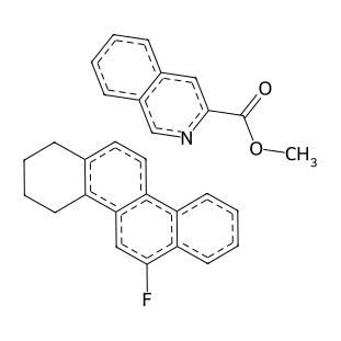 COC(=O)c1cc2ccccc2cn1.Fc1cc2c3c(ccc2c2ccccc12)CCCC3